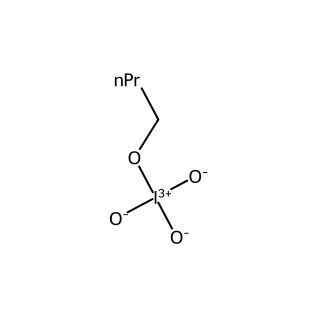 CCCCO[I+3]([O-])([O-])[O-]